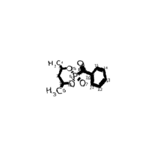 CC1CC(C)OP(=O)(C(=O)c2ccccc2)O1